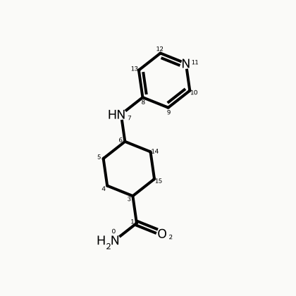 NC(=O)C1CCC(Nc2ccncc2)CC1